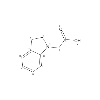 O=C(O)CN1CCc2ccccc21